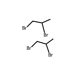 CC(Br)CBr.CC(Br)CBr